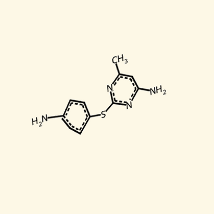 Cc1cc(N)nc(Sc2ccc(N)cc2)n1